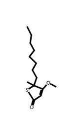 CCCCCCCCC1(C)SC(=O)C=C1OC